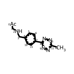 CC(=O)CNCc1ccc(-c2nnc(C)nn2)cc1